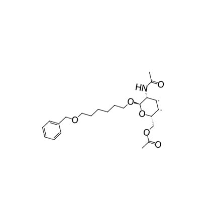 CC(=O)N[C@@H]1[CH][CH][C@H](COC(C)=O)O[C@H]1OCCCCCCOCc1ccccc1